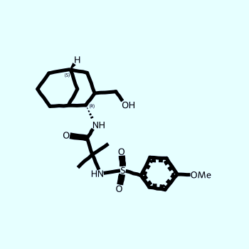 COc1ccc(S(=O)(=O)NC(C)(C)C(=O)N[C@H]2C(CO)C[C@H]3CCCC2C3)cc1